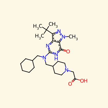 Cn1nc(C(C)(C)C)c2nc(N(CC3CCCCC3)CC3CCN(CC(=O)O)CC3)[nH]c(=O)c21